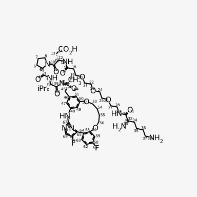 CC(C)[C@H](NC(=O)[C@@H]1CCCN1C(=O)[C@H](CC(=O)O)NC(=O)CCOCCOCCOCCNC(=O)[C@@H](N)CCCCN)C(=O)N=[S@@](C)(=O)Cc1cc2cc(c1)OCCCCOc1cc(F)ccc1-c1nc(ncc1F)N2